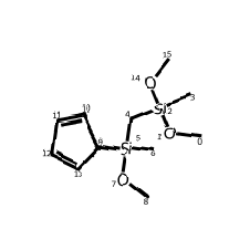 CO[Si](C)(C[Si](C)(OC)C1C=CC=C1)OC